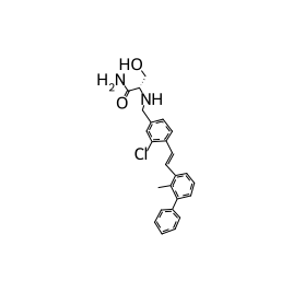 Cc1c(/C=C/c2ccc(CN[C@@H](CO)C(N)=O)cc2Cl)cccc1-c1ccccc1